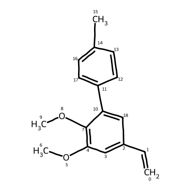 C=Cc1cc(OC)c(OC)c(-c2ccc(C)cc2)c1